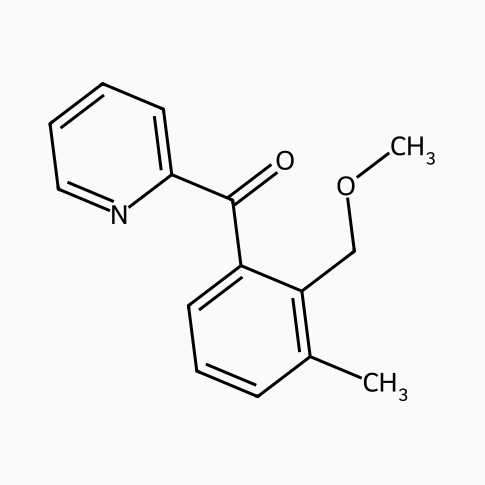 COCc1c(C)cccc1C(=O)c1ccccn1